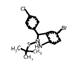 CC(C)(C)SN1Nc2ccc(Br)cc2C1c1ccc(Cl)cc1